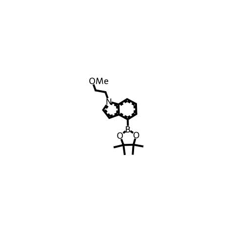 COCCn1ccc2c(B3OC(C)(C)C(C)(C)O3)cccc21